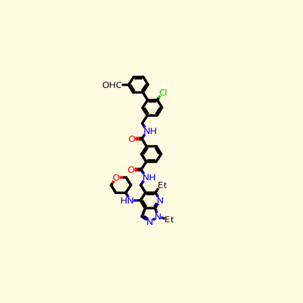 CCc1nc2c(cnn2CC)c(NC2CCOCC2)c1CNC(=O)c1cccc(C(=O)NCc2ccc(Cl)c(-c3cccc(C=O)c3)c2)c1